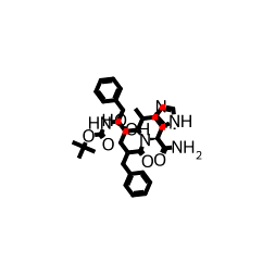 CC[C@H](C)[C@@H](C(N)=O)N(C(=O)C(Cc1ccccc1)CC(O)C(Cc1ccccc1)NC(=O)OC(C)(C)C)C(CO)C(C)c1c[nH]cn1